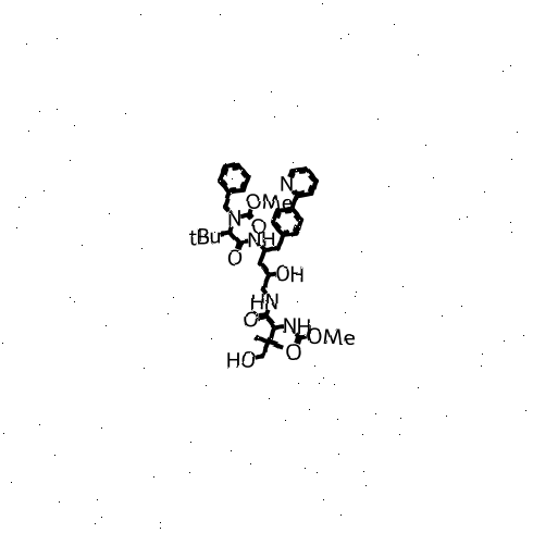 COC(=O)NC(C(=O)NCC(O)CC(Cc1ccc(-c2ccccn2)cc1)NC(=O)C(N(Cc1ccccc1)C(=O)OC)C(C)(C)C)C(C)(C)CO